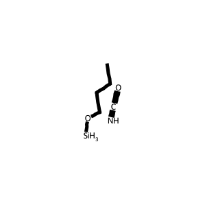 CCCCO[SiH3].N=C=O